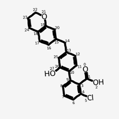 O=C(O)c1c(Cl)cccc1-c1ccc(Cc2ccc3c(c2)OCC=C3)cc1O